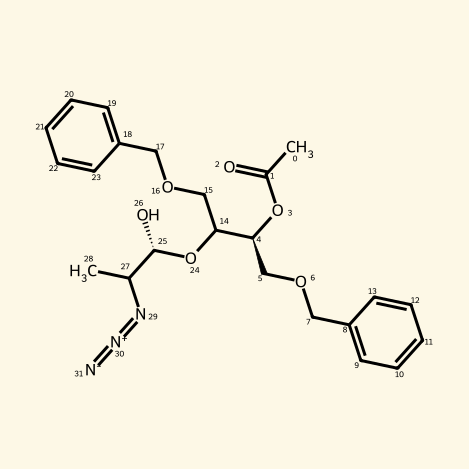 CC(=O)O[C@@H](COCc1ccccc1)C(COCc1ccccc1)O[C@@H](O)C(C)N=[N+]=[N-]